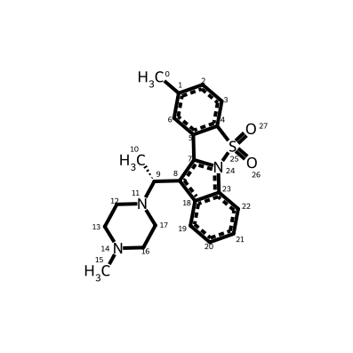 Cc1ccc2c(c1)-c1c([C@@H](C)N3CCN(C)CC3)c3ccccc3n1S2(=O)=O